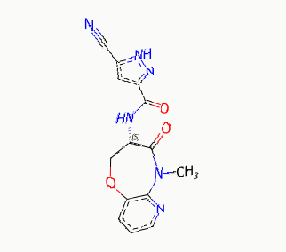 CN1C(=O)[C@@H](NC(=O)c2cc(C#N)[nH]n2)COc2cccnc21